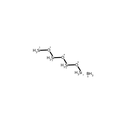 B.[SiH3]O[SiH2]O[SiH2]O[SiH3]